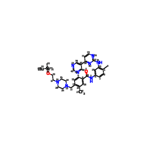 Cc1ccc(NC(=O)c2ccc(CN3CCN(CCO[Si](C)(C)C(C)(C)C)CC3)c(C(F)(F)F)c2)cc1Nc1nccc(-c2cncnc2)n1